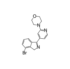 Brc1cccc2c1CN=C2c1ccnc(N2CCOCC2)c1